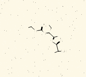 CC(C)C[C@H](NC(=O)NCC(=O)O)c1nc(C(N)C(C)C)no1